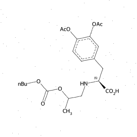 CCCCOC(=O)OC(C)CN[C@@H](Cc1ccc(OC(C)=O)c(OC(C)=O)c1)C(=O)O